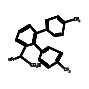 CCCC(C(=O)O)c1cccc(-c2ccc(C(F)(F)F)cc2)c1-c1ccc(C(F)(F)F)cc1